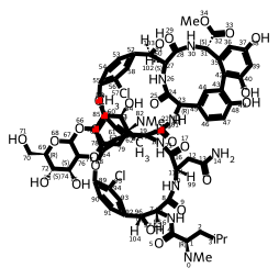 CN[C@H](CC(C)C)C(=O)N[C@H]1C(=O)N[C@@H](CC(N)=O)C(=O)N[C@H]2C(=O)N[C@H]3C(=O)N[C@H](C(=O)N[C@H](C(=O)OC)c4cc(O)cc(O)c4-c4cc3ccc4O)[C@H](O)c3ccc(c(Cl)c3)Oc3cc2cc(c3OC2O[C@H](CO)[C@@H](O)[C@H](O)C2OC2C[C@](C)(NC)[C@H](O)[C@H](C)O2)Oc2ccc(cc2Cl)[C@H]1O